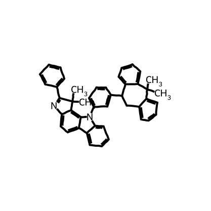 CC1(C)C(c2ccccc2)=Nc2ccc3c4ccccc4n(-c4cccc(C5Cc6ccccc6C(C)(C)c6ccccc65)c4)c3c21